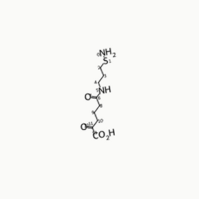 NSCCCNC(=O)CCCC(=O)C(=O)O